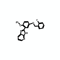 CC(C)Oc1ccc(OCc2ccccc2F)cc1-c1nc2cccnc2[nH]1